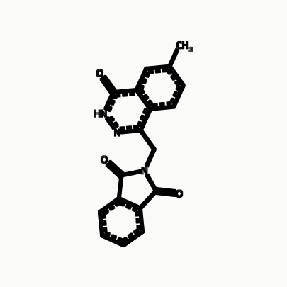 Cc1ccc2c(CN3C(=O)c4ccccc4C3=O)n[nH]c(=O)c2c1